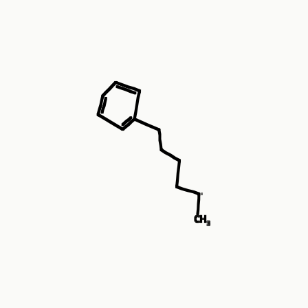 C[CH]CCCCc1ccccc1